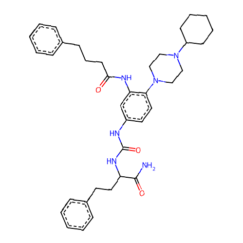 NC(=O)C(CCc1ccccc1)NC(=O)Nc1ccc(N2CCN(C3CCCCC3)CC2)c(NC(=O)CCCc2ccccc2)c1